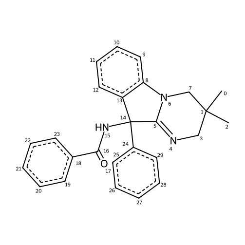 CC1(C)CN=C2N(C1)c1ccccc1C2(NC(=O)c1ccccc1)c1ccccc1